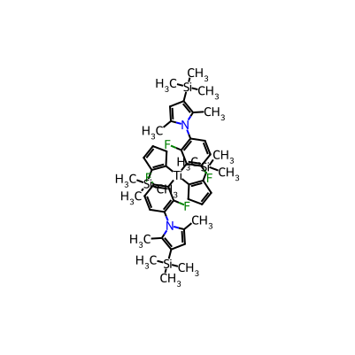 Cc1cc([Si](C)(C)C)c(C)n1-c1ccc(F)[c]([Ti]([C]2=C([Si](C)(C)C)C=CC2)([C]2=C([Si](C)(C)C)C=CC2)[c]2c(F)ccc(-n3c(C)cc([Si](C)(C)C)c3C)c2F)c1F